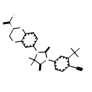 CC1(C)C(=O)N(c2ccc(C#N)c(C(F)(F)F)c2)C(=S)N1c1ccc2c(c1)OC[C@@H](C(N)=O)O2